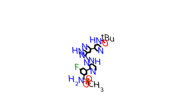 CC(C)(C)C(=O)Nc1cncc(-c2cnc3[nH]nc(-c4nc5c(-c6cc(F)cc(C(N)S(C)(=O)=O)c6)nccc5[nH]4)c3c2)c1